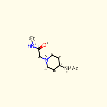 CCNC(=O)CN1CCC(NC(C)=O)CC1